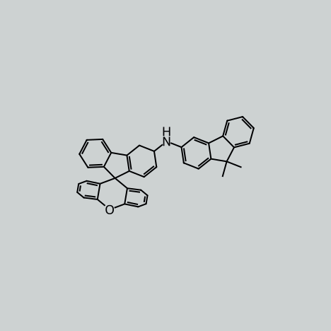 CC1(C)c2ccccc2-c2cc(NC3C=CC4=C(C3)c3ccccc3C43c4ccccc4Oc4ccccc43)ccc21